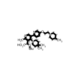 Cc1ncc(-c2ccc(OCCN3CCC(C)CC3)cn2)c(N2CCC(C)(C)CC2)c1[C@H](OC(C)(C)C)C(=O)O